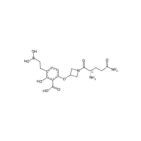 NC(=O)CC[C@H](N)C(=O)N1CC(Oc2ccc(CCB(O)O)c(O)c2C(=O)O)C1